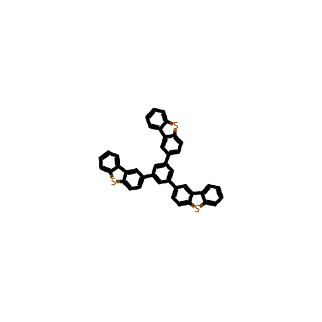 c1ccc2c(c1)sc1ccc(-c3cc(-c4ccc5sc6ccccc6c5c4)cc(-c4ccc5sc6ccccc6c5c4)c3)cc12